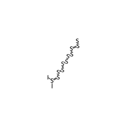 S=S=S=S=S=S=S=S=S=S=S(I)I